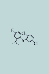 CN(C)c1cc(F)ccc1Sc1cc(Cl)ccc1Cl